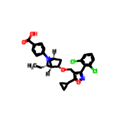 CC[C@H]1[C@H]2C[C@H](C[C@@H]2OCc2c(-c3c(Cl)cccc3Cl)noc2C2CC2)N1c1ccc(C(=O)O)cc1